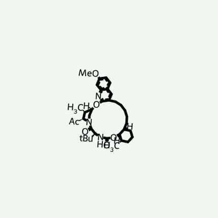 COc1ccc2cc3c(nc2c1)O[C@H]1CN(C(=O)[C@H](C(C)(C)C)NC(=O)O[C@H]2[C@H](CCCCC3)CCC[C@H]2C)[C@H](C(C)=O)[C@@H]1C